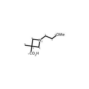 COCCN1CC(C)(C(=O)O)C1